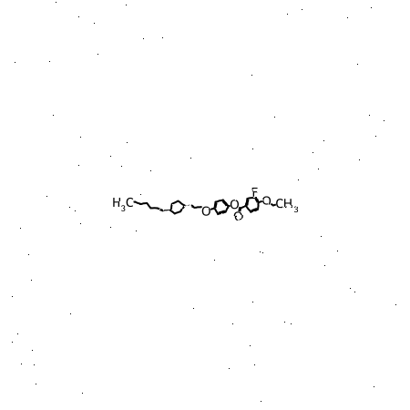 CCCCCCC[C@H]1CC[C@H](CCCOc2ccc(OC(=O)c3ccc(OCC)c(F)c3)cc2)CC1